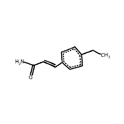 CCc1ccc(C=CC(N)=O)cc1